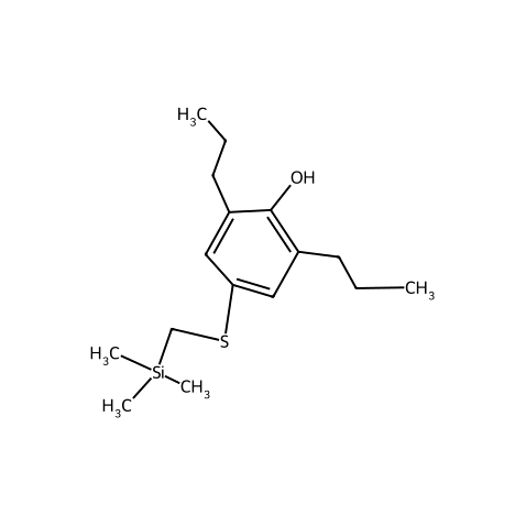 CCCc1cc(SC[Si](C)(C)C)cc(CCC)c1O